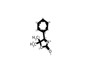 CC1(C)OC(=O)N=C1c1ccccc1